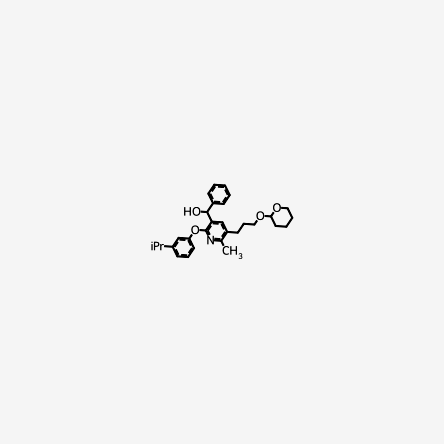 Cc1nc(Oc2cccc(C(C)C)c2)c(C(O)c2ccccc2)cc1CCCOC1CCCCO1